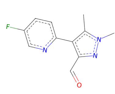 Cc1c(-c2ccc(F)cn2)c(C=O)nn1C